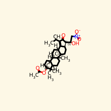 CC(=O)O[C@H]1CC[C@]2(C)[C@H]3CC[C@@H]4C5=C(C(C)C)C(=O)[C@@H]([C@H](O)C[N+](=O)[O-])C5CC[C@@]4(C)[C@]3(C)CC[C@H]2C1(C)C